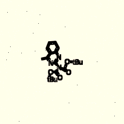 Cc1nc(N(C(=O)OC(C)(C)C)C(=O)OC(C)(C)C)nc2ccccc12